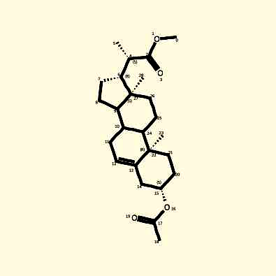 COC(=O)[C@@H](C)[C@H]1CCC2C3CC=C4C[C@@H](OC(C)=O)CC[C@]4(C)C3CC[C@@]21C